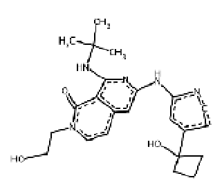 CC(C)(C)Nc1nc(Nc2cc(C3(O)CCC3)ccn2)cc2ccn(CCO)c(=O)c12